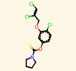 S=C(Oc1ccc(Cl)c(OCC(Cl)=CCl)c1)N1CCCC1